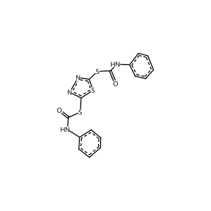 O=C(Nc1ccccc1)Sc1nnc(SC(=O)Nc2ccccc2)s1